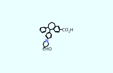 O=CC1CCN(c2ccc(C3c4ccc(C(=O)O)cc4CCCC3c3ccccc3)cc2)CC1